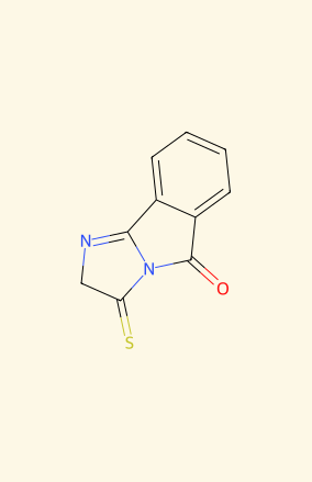 O=C1c2ccccc2C2=NCC(=S)N12